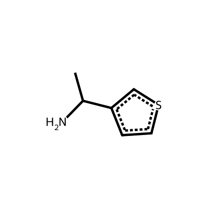 CC(N)c1ccsc1